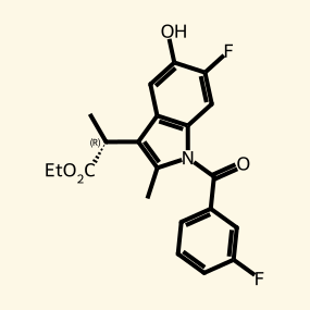 CCOC(=O)[C@H](C)c1c(C)n(C(=O)c2cccc(F)c2)c2cc(F)c(O)cc12